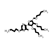 CCCCOC[C@H]1O[C@@H](c2ncc(OCCCC)nc2F)[C@@H](OCCCC)C1OCCCC